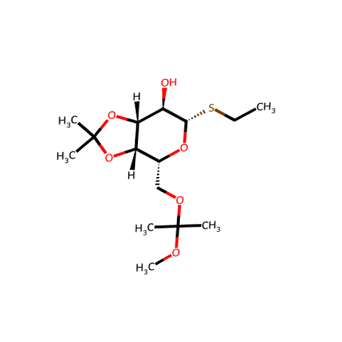 CCS[C@@H]1O[C@H](COC(C)(C)OC)[C@@H]2OC(C)(C)O[C@@H]2[C@H]1O